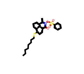 C=c1c2cccc3c(SCCCCCCCC)ccc(c(=O)n1OS(=O)(=O)c1ccccc1)c32